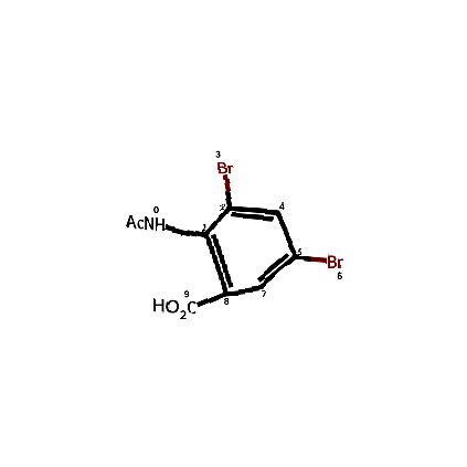 CC(=O)Nc1c(Br)cc(Br)cc1C(=O)O